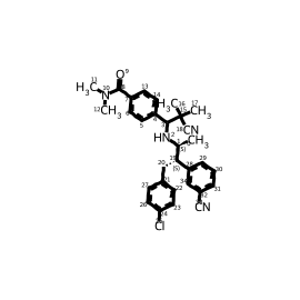 C[C@H](NC(c1ccc(C(=O)N(C)C)cc1)C(C)(C)C#N)[C@@H](Cc1ccc(Cl)cc1)c1cccc(C#N)c1